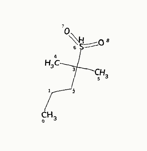 CC[CH]C(C)(C)[SH](=O)=O